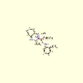 CNC(CNC(C)/N=C1/C=CC=C/C1=C/CCCNc1ccccc1C)C(C)C